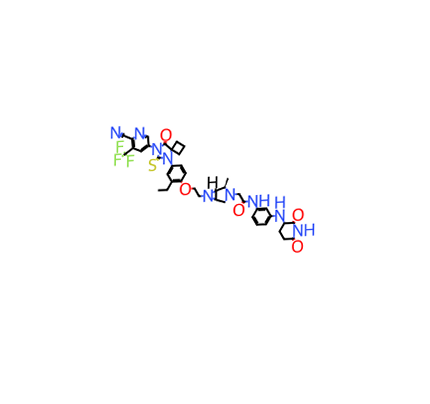 CCc1cc(N2C(=S)N(c3cnc(C#N)c(C(F)(F)F)c3)C(=O)C23CCC3)ccc1OCCN1C2CN(CC(=O)Nc3cccc(NC4CCC(=O)NC4=O)c3)[C@H](C)[C@H]21